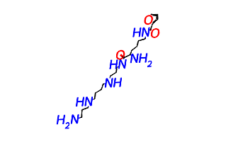 NCCCNCCCCNCCCNC(=O)[C@@H](N)CCCCNC(=O)c1ccco1